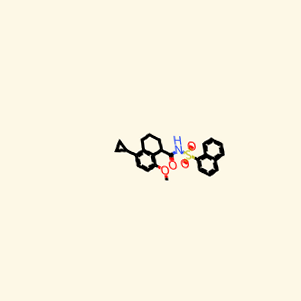 COc1ccc(C2CC2)c2c1C(C(=O)NS(=O)(=O)c1cccc3ccccc13)CCC2